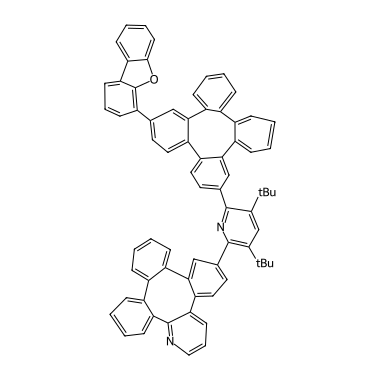 CC(C)(C)c1cc(C(C)(C)C)c(-c2ccc3c(c2)-c2ccccc2-c2ccccc2-c2ncccc2-3)nc1-c1ccc2c(c1)-c1ccccc1-c1ccccc1-c1cc(-c3cccc4c3oc3ccccc34)ccc1-2